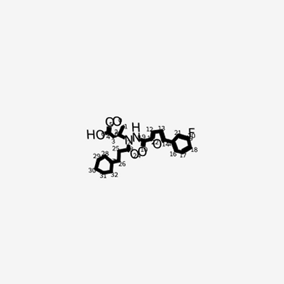 O=C[C@H](CC(=O)O)N(NC(=O)c1ccc(-c2cccc(F)c2)o1)C(=O)CCC1CCCCC1